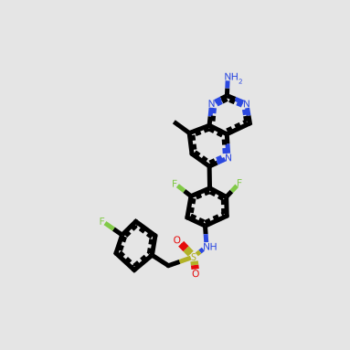 Cc1cc(-c2c(F)cc(NS(=O)(=O)Cc3ccc(F)cc3)cc2F)nc2cnc(N)nc12